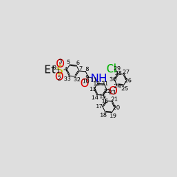 CCS(=O)(=O)c1ccc(CC(=O)Nc2ccc(-c3ccccc3)c(Oc3cccc(Cl)c3)c2)cc1